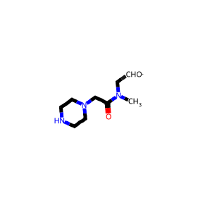 CN(C[C]=O)C(=O)CN1CCNCC1